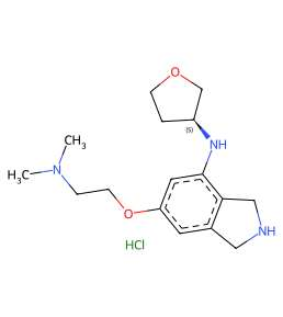 CN(C)CCOc1cc2c(c(N[C@H]3CCOC3)c1)CNC2.Cl